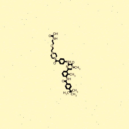 Cc1c(NC(=O)c2ccc(C(C)(C)C)cc2)cccc1-c1cn(C)c(=O)c(Nc2ccc(C(=O)N3CCN(CCOCCNC(=O)O)CC3)cc2)n1